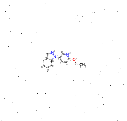 CCOc1ccc(-n2ncc3c[c]ccc32)cn1